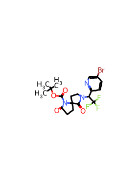 CC(C)(C)OC(=O)N1C(=O)CCC12CCN(C(c1ccc(Br)cn1)C(F)(F)F)C2=O